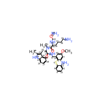 COc1ccc(Sc2ccccc2N)c(CNC(=O)[C@H](Cc2c(C)[nH]c3ccccc23)N(C)C(=O)[C@H](CCCCN)NCON)c1